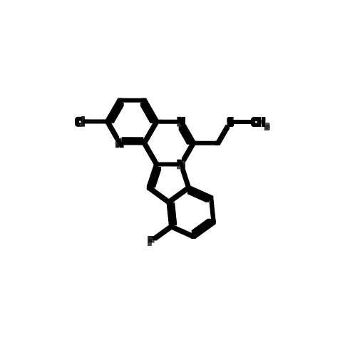 CSCc1nc2ccc(Cl)nc2c2cc3c(F)cccc3n12